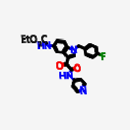 CCOC(=O)Nc1ccc2c(c1)c(C(=O)C(=O)Nc1ccncc1)cn2Cc1ccc(F)cc1